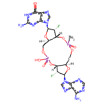 BP1(=O)OC[C@H]2O[C@@H](n3cnc4c(N)ncnc43)[C@H](F)[C@@H]2OP(=O)(O)OC[C@H]2O[C@@H](n3cnc4c(=O)[nH]c(N)nc43)[C@H](F)[C@@H]2O1